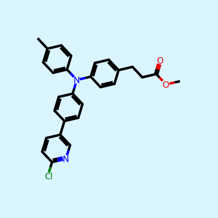 COC(=O)CCc1ccc(N(c2ccc(C)cc2)c2ccc(-c3ccc(Cl)nc3)cc2)cc1